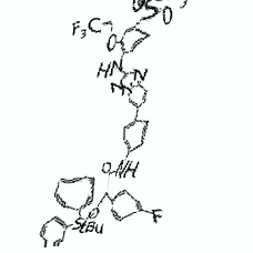 CC(C)(C)[Si](OCC(C(=O)Nc1ccc(-c2ccc3nc(Nc4ccc(S(C)(=O)=O)cc4OCC(F)(F)F)nn3c2)cc1)c1ccc(F)cc1)(c1ccccc1)c1ccccc1